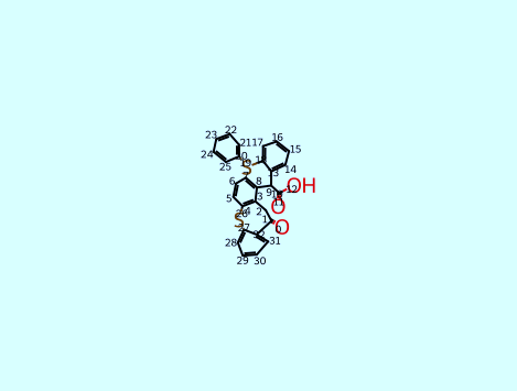 O=C1Cc2c(cccc2C(C(=O)O)c2ccccc2Sc2ccccc2)Sc2ccccc21